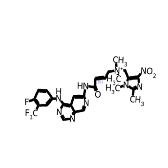 Cc1nc([N+](=O)[O-])c(C[N+](C)(C)C/C=C/C(=O)Nc2cc3c(Nc4ccc(F)c(C(F)(F)F)c4)ncnc3cn2)n1C